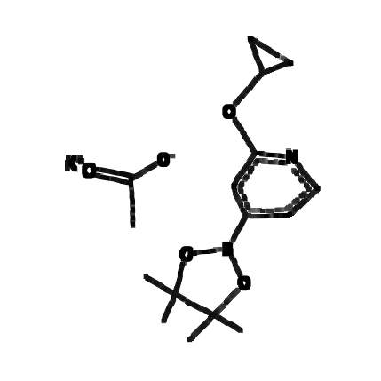 CC(=O)[O-].CC1(C)OB(c2ccnc(OC3CC3)c2)OC1(C)C.[K+]